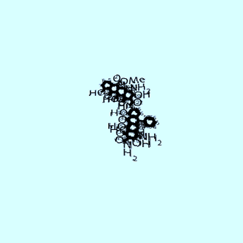 COC(=O)[C@@H]1c2cccc(O)c2C(=O)C2=C(O)[C@]3(O)C(=O)C(C(=O)Nc4ccc5c(c4O)C(=O)C4=C(O)[C@]6(O)C(=O)C(C(N)=O)=C(O)[C@@H](N)[C@@H]6C[C@@H]4[C@@H]5c4ccccc4)=C(O)[C@@H](N)[C@@H]3C[C@@H]21